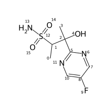 CC(C(C)(O)c1ncc(F)cn1)S(N)(=O)=O